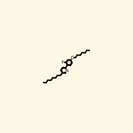 CCCCCCCCc1ccc(-c2ccc(OCCCCCCC)cc2F)nc1